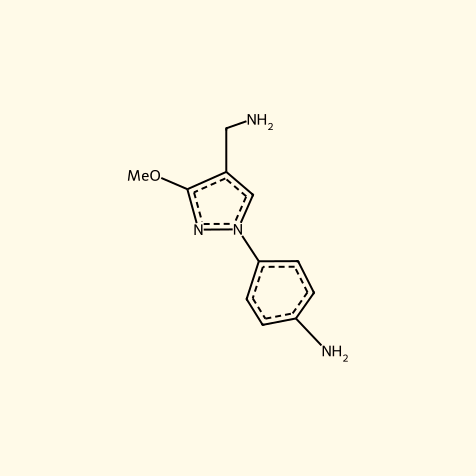 COc1nn(-c2ccc(N)cc2)cc1CN